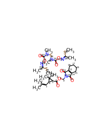 CC(C)=CC1C(C(=O)OCN2C(=O)C3=C(CCCC3)C2=O)C1(C)C.CS/C(C)=N\OC(=O)N(C)SN(C)C(=O)O/N=C(/C)SC